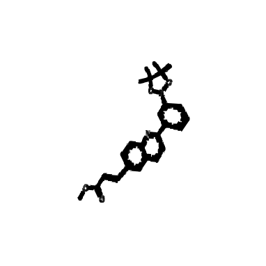 COC(=O)/C=C/c1ccc2nc(-c3cccc(B4OC(C)(C)C(C)(C)O4)c3)ccc2c1